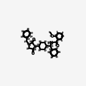 COc1ccccc1C(=O)NC(c1ccccc1)C1CCC(N2C(=O)CN(Cc3ccccc3)C2=O)CC1